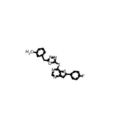 Cc1cccc(Cc2nnc(Sc3ncnc4cc(-c5ccc(F)cc5)sc34)o2)c1